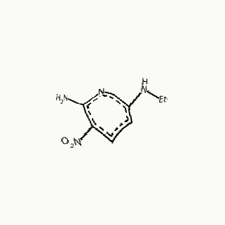 C[CH]Nc1ccc([N+](=O)[O-])c(N)n1